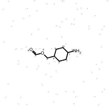 NC1CCC(COC=O)CC1